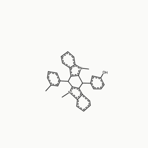 Cc1cccc(C2c3c(n(C)c4ccccc34)C(c3cccc(O)c3)c3c2n(C)c2ccccc32)c1